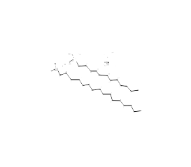 CCCCCCCCCCCCCCCC[N+](C)(C)C.CCCCCCCCCCCC[N+](C)(C)C.Cl.N.O